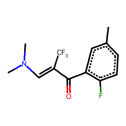 Cc1ccc(F)c(C(=O)/C(=C/N(C)C)C(F)(F)F)c1